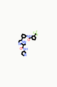 O=C(Nc1cccc(-c2ccnc3c(C(=O)Nc4cccnc4)cnn23)c1)c1cccc(C(F)(F)F)c1